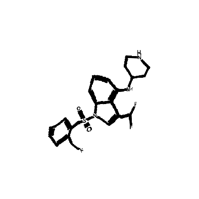 O=S(=O)(c1ccccc1F)n1cc(C(F)F)c2c(NC3CCNCC3)cccc21